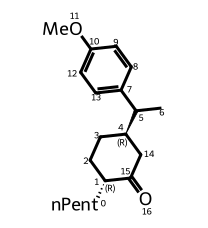 CCCCC[C@@H]1CC[C@@H](C(C)c2ccc(OC)cc2)CC1=O